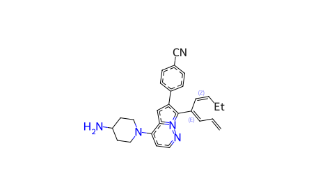 C=C/C=C(\C=C/CC)c1c(-c2ccc(C#N)cc2)cc2c(N3CCC(N)CC3)ccnn12